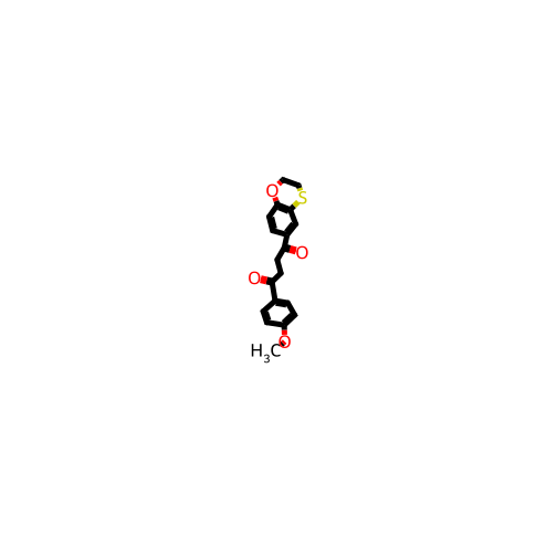 COc1ccc(C(=O)CCC(=O)c2ccc3c(c2)SCCO3)cc1